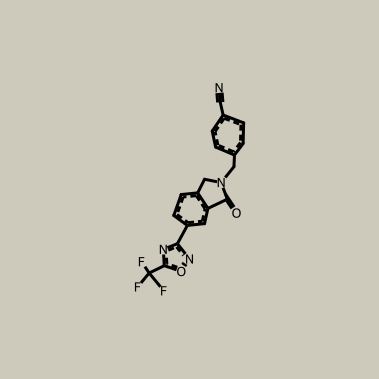 N#Cc1ccc(CN2Cc3ccc(-c4noc(C(F)(F)F)n4)cc3C2=O)cc1